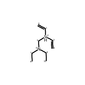 C=C[SiH](C=C)CN(CC)CC